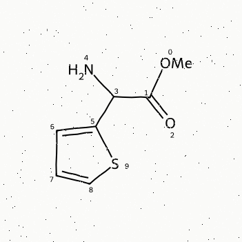 [CH2]OC(=O)C(N)c1cccs1